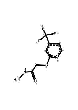 NNC(=O)COc1cc(C(F)(F)F)ccn1